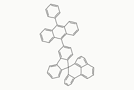 c1ccc(-c2c3ccccc3c(-c3ccc4c(c3)-c3ccccc3C43c4ccccc4-c4cccc5cccc3c45)c3ccccc23)cc1